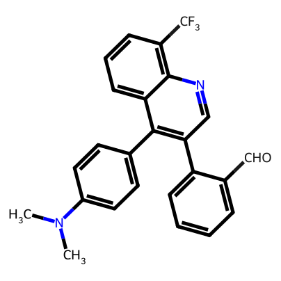 CN(C)c1ccc(-c2c(-c3ccccc3C=O)cnc3c(C(F)(F)F)cccc23)cc1